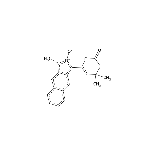 Cn1c2cc3ccccc3cc2c(C2=CC(C)(C)CC(=O)O2)[n+]1[O-]